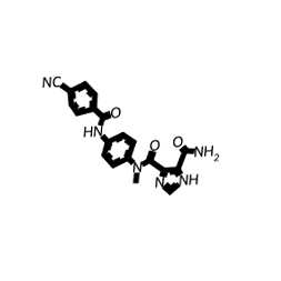 CN(C(=O)c1nc[nH]c1C(N)=O)c1ccc(NC(=O)c2ccc(C#N)cc2)cc1